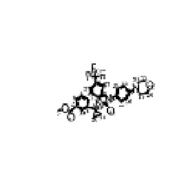 COC(=O)c1cccc(C2(n3c(=O)n(-c4ccc(N5CCOCC5)cc4)c4cc(C(F)(F)F)ccc43)CC2)c1